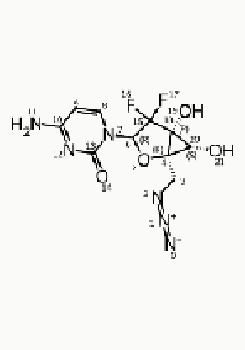 [N-]=[N+]=NC[C@]12O[C@@H](n3ccc(N)nc3=O)C(F)(F)[C@@]1(O)[C@@H]2O